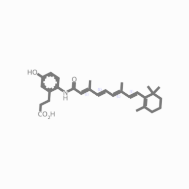 CC1=C(/C=C/C(C)=C/C=C/C(C)=C/C(=O)Nc2ccc(O)cc2CCC(=O)O)C(C)(C)CCC1